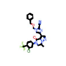 CC1CN(c2ccc(C(F)(F)F)c(Cl)c2)C(=O)c2c(-c3cn(COCc4ccccc4)c(C#N)n3)cnn21